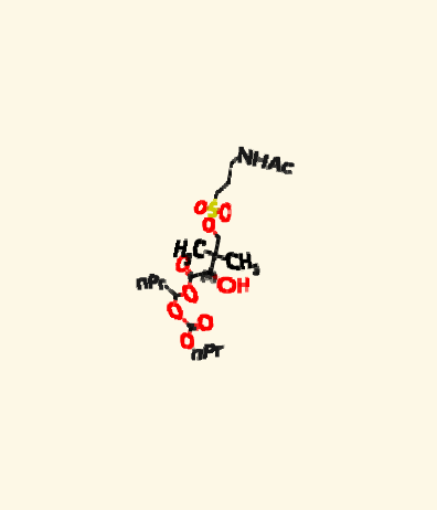 CCCOC(=O)OC(CCC)OC(=O)[C@H](O)C(C)(C)COS(=O)(=O)CCCNC(C)=O